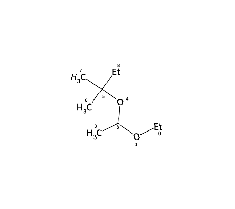 CCOC(C)OC(C)(C)CC